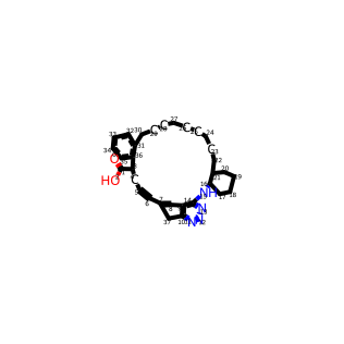 O=C(O)C1CC#CC2=Cc3c(nnnc3NC3CCCCC3CCCCCCCCCc3ccccc31)C2